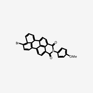 COc1ccc(N2C(=O)c3ccc4c5cccc6c(Br)ccc(c7ccc(c3c47)C2=O)c65)cc1